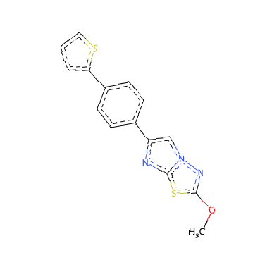 COc1nn2cc(-c3ccc(-c4cccs4)cc3)nc2s1